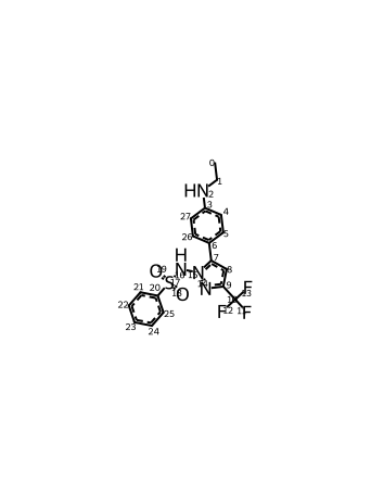 CCNc1ccc(-c2cc(C(F)(F)F)nn2NS(=O)(=O)c2ccccc2)cc1